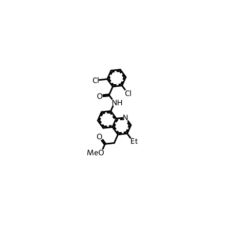 CCc1cnc2c(NC(=O)c3c(Cl)cccc3Cl)cccc2c1CC(=O)OC